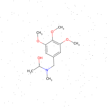 COc1cc(CN(C)C(C)O)cc(OC)c1OC